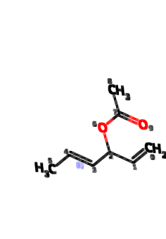 C=CC(/C=C/C)OC(C)=O